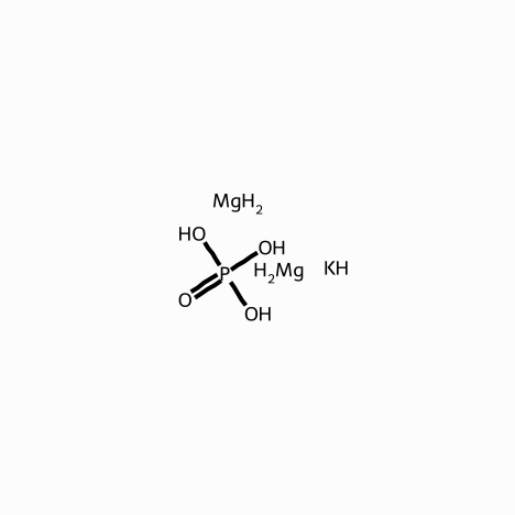 O=P(O)(O)O.[KH].[MgH2].[MgH2]